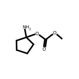 COC(=O)OC1(N)CCCC1